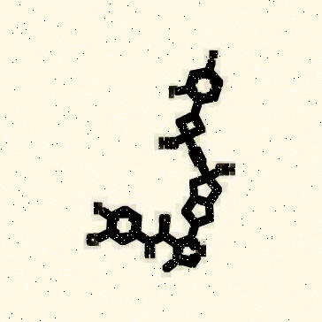 Cn1cnc(C2CC3CC(O)(C#CC4(O)CC(c5ccc(F)cc5F)C4)CC3C2)c1C(=O)Nc1ccc(F)c(Cl)c1